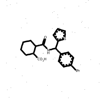 CC(C)c1ccc(C(NC(=O)C2CCCCC2C(=O)O)c2cccs2)cc1